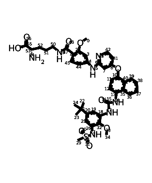 COc1cc(Nc2cc(Oc3ccc(NC(=O)Nc4cc(C(C)(C)C)cc(NS(C)(=O)=O)c4OC)c4ccccc34)ccn2)ccc1C(=O)NCCC[C@H](N)C(=O)O